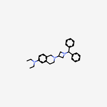 CCN(CC)c1ccc2c(c1)CCN(C1CN(C(c3ccccc3)c3ccccc3)C1)C2